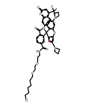 O=C(NCCOCCOCCCCCCCl)c1ccc2c(c1)C1(c3ccc(N4CCC4)cc3Oc3cc(N4CCC4)ccc31)N(c1ccc3c(C(F)(F)F)cc(=O)oc3c1)C2=O